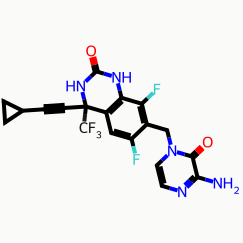 Nc1nccn(Cc2c(F)cc3c(c2F)NC(=O)NC3(C#CC2CC2)C(F)(F)F)c1=O